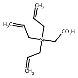 C=CC[Si](CC=C)(CC=C)CC(=O)O